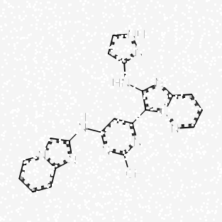 Cc1nc(Nc2cn3ccccc3n2)cc(-c2c(Nc3cc[nH]n3)nc3cccnn23)n1